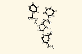 Nc1ccn([C@@H]2O[C@H](COC(=O)c3ccccc3)[C@@H](OC(=O)c3ccccc3)[C@@H]2F)c(=O)n1